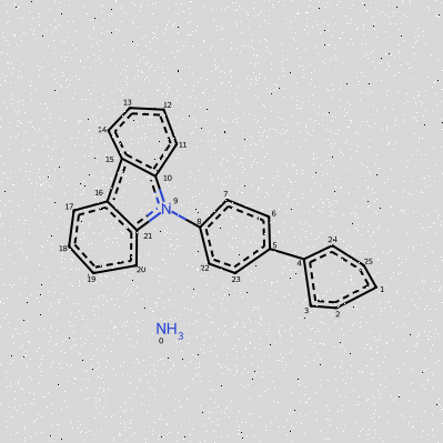 N.c1ccc(-c2ccc(-n3c4ccccc4c4ccccc43)cc2)cc1